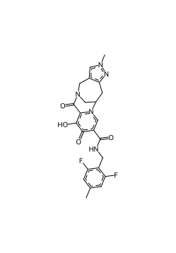 Cc1cc(F)c(CNC(=O)c2cn3c(c(O)c2=O)C(=O)N2Cc4cn(C)nc4CC3C2)c(F)c1